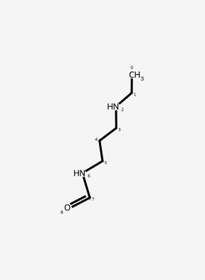 CCNCCCN[C]=O